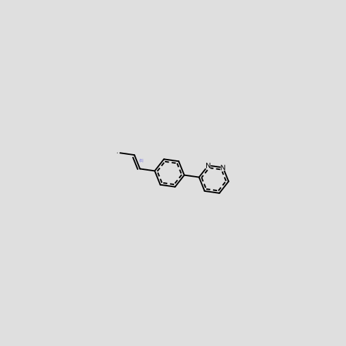 [CH2]/C=C/c1ccc(-c2cccnn2)cc1